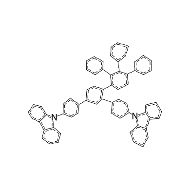 c1ccc(-c2ccc(-c3ccc(-c4ccc(-n5c6ccccc6c6ccccc65)cc4)cc3-c3ccc(-n4c5ccccc5c5ccccc54)cc3)c(-c3ccccc3)c2-c2ccccc2)cc1